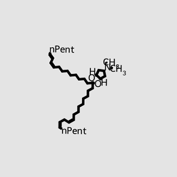 CCCCC/C=C\C/C=C\CCCCCCCCC1(CCCCCCCC/C=C\C=C\CCCCC)O[C@H]2C[C@H](N(C)C)C[C@H]2O1